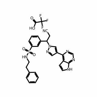 N#CCC(c1cccc(S(=O)(=O)NCCc2ccccc2)c1)n1cc(-c2ncnc3[nH]ccc23)cn1.O=C(O)C(F)(F)F